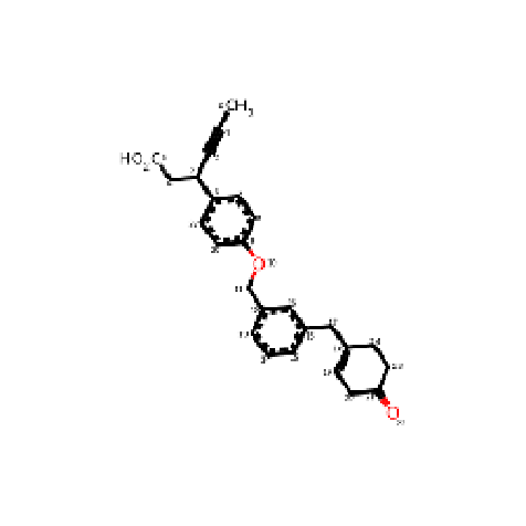 CC#CC(CC(=O)O)c1ccc(OCc2cccc(CC3=CCC(=O)CC3)c2)cc1